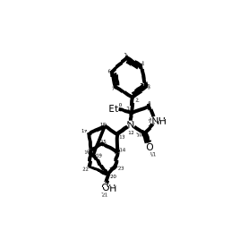 CCC1(c2ccccc2)CNC(=O)N1C1C2CC3CC1CC(O)(C3)C2